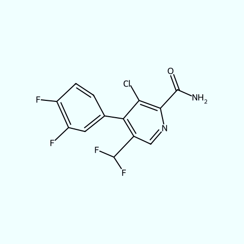 NC(=O)c1ncc(C(F)F)c(-c2ccc(F)c(F)c2)c1Cl